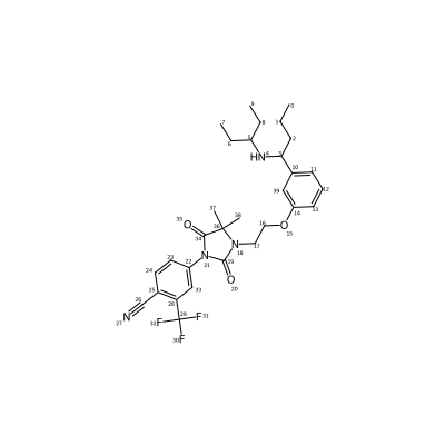 CCCC(NC(CC)CC)c1cccc(OCCN2C(=O)N(c3ccc(C#N)c(C(F)(F)F)c3)C(=O)C2(C)C)c1